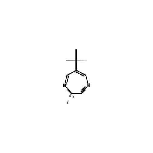 C[C@H]1C=NC=C(C(C)(C)C)C=N1